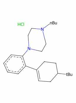 CCCCN1CCN(c2ccccc2C2=CCC(C(C)(C)C)CC2)CC1.Cl